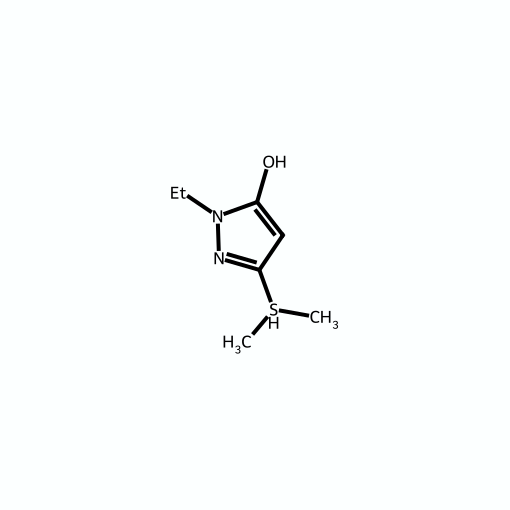 CCn1nc([SH](C)C)cc1O